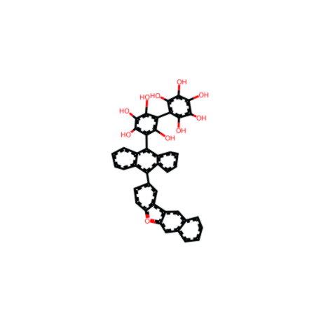 Oc1c(O)c(O)c(-c2c(O)c(O)c(O)c(-c3c4ccccc4c(-c4ccc5oc6cc7ccccc7cc6c5c4)c4ccccc34)c2O)c(O)c1O